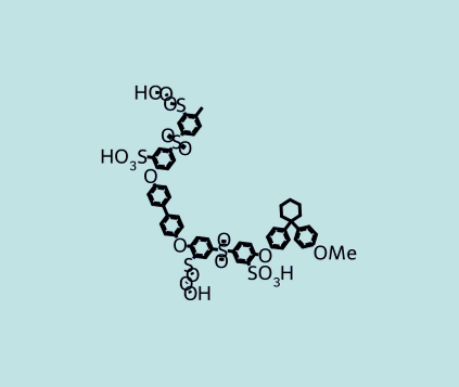 COc1ccc(C2(c3ccc(Oc4ccc(S(=O)(=O)c5ccc(Oc6ccc(-c7ccc(Oc8ccc(S(=O)(=O)c9ccc(C)c(SOOO)c9)cc8S(=O)(=O)O)cc7)cc6)c(SOOO)c5)cc4S(=O)(=O)O)cc3)CCCCC2)cc1